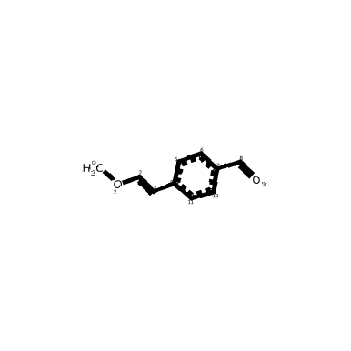 COC=Cc1ccc(C=O)cc1